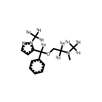 [2H]C(OCC([2H])([2H])N(C)C([2H])([2H])[2H])(c1ccccc1)c1ccnn1C([2H])([2H])[2H]